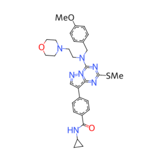 COc1ccc(CN(CCN2CCOCC2)c2nc(SC)nc3c(-c4ccc(C(=O)NC5CC5)cc4)cnn23)cc1